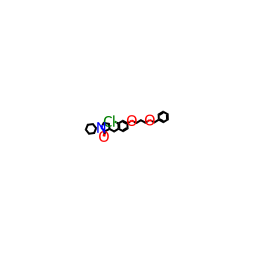 O=C1C(Cc2ccc(OCCCOCc3ccccc3)cc2Cl)CCN1C1CCCCC1